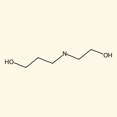 OCCC[N]CCO